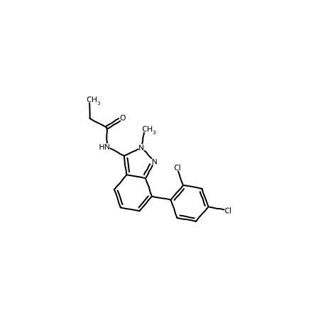 CCC(=O)Nc1c2cccc(-c3ccc(Cl)cc3Cl)c2nn1C